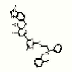 Cc1cc(C2=CN(Cc3ccc4c(c3)ncn4C)C(O)C(F)=C2)nc(SCCC(OCc2ccccc2F)c2ccccc2)n1